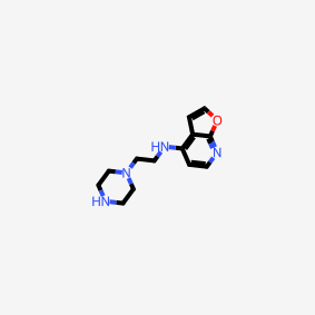 c1cc(NCCN2CCNCC2)c2ccoc2n1